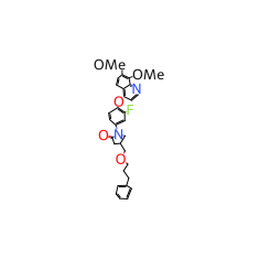 COc1ccc2c(Oc3ccc(N4CC(COCCCc5ccccc5)CC4=O)cc3F)ccnc2c1OC